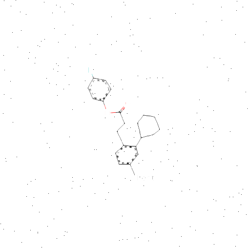 CCCC(C)c1ccc(CCC(=O)Oc2ccc(F)cc2)c(C2CCCCC2)c1